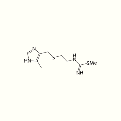 CSC(=N)NCCSCc1nc[nH]c1C